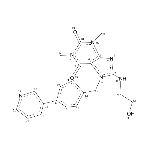 Cn1c(=O)c2c(nc(NCCO)n2Cc2ccc(-c3cccnc3)cc2)n(C)c1=O